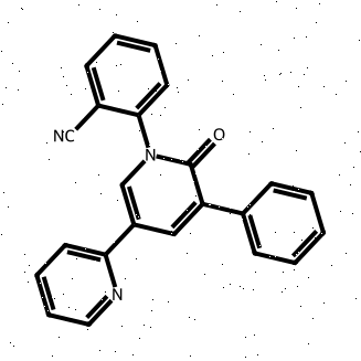 N#Cc1ccccc1-n1cc(-c2ccccn2)cc(-c2ccccc2)c1=O